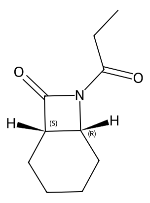 CCC(=O)N1C(=O)[C@H]2CCCC[C@H]21